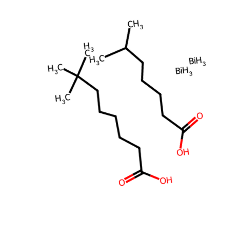 CC(C)(C)CCCCCC(=O)O.CC(C)CCCCC(=O)O.[BiH3].[BiH3]